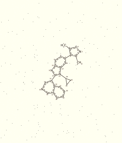 Cc1noc(C)c1-c1ccc2nc(-c3cncc4ccccc34)n(C3CC3)c2c1